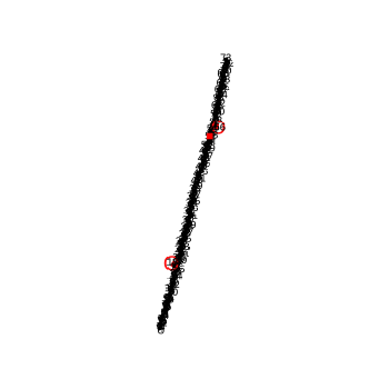 CCCCCCCCCCCCCCCCCC(=O)CCCCCCCCCCCCCCCCCCCCCCCCCCCCCCCCCCCCC(=O)CCCCCCCCCCCCCCCCC